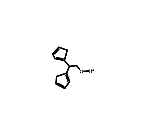 [Hf][O]CC(C1=CC=CC1)C1=CC=CC1